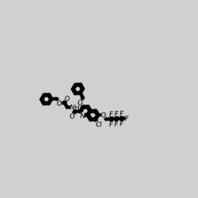 O=C(CNC(=O)c1nc2cc(Cl)c(OCC(F)(F)C(F)(F)C(F)(F)F)cc2cc1OCc1ccccc1)OCc1ccccc1